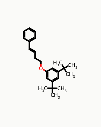 CC(C)(C)c1cc(OCC/C=C/c2ccccc2)cc(C(C)(C)C)c1